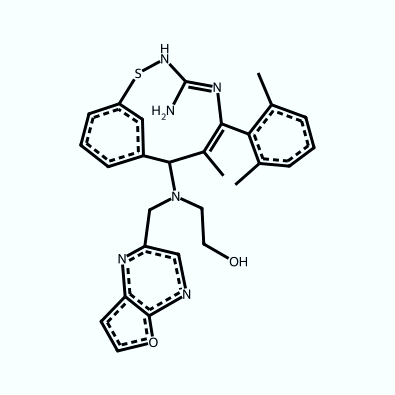 C/C1=C(c2c(C)cccc2C)/N=C(\N)NSc2cccc(c2)C1N(CCO)Cc1cnc2occc2n1